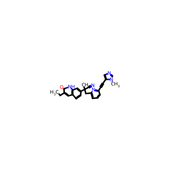 CCc1cc2ccc(C(C)(C#N)Cc3cccc(C#Cc4cncn4C)n3)cc2[nH]c1=O